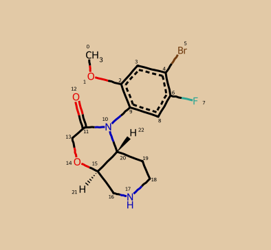 COc1cc(Br)c(F)cc1N1C(=O)CO[C@@H]2CNCC[C@H]21